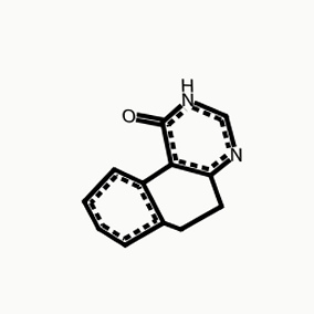 O=c1[nH]cnc2c1-c1ccccc1CC2